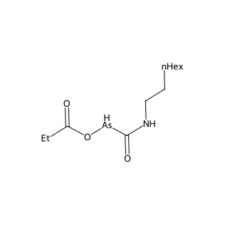 CCCCCCCCNC(=O)[AsH]OC(=O)CC